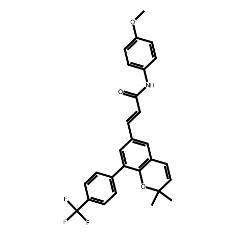 COc1ccc(NC(=O)C=Cc2cc3c(c(-c4ccc(C(F)(F)F)cc4)c2)OC(C)(C)C=C3)cc1